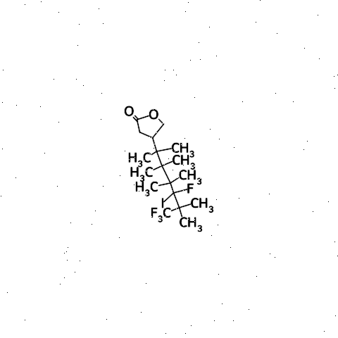 CC(C)(C1COC(=O)C1)C(C)(C)C(C)(C)C(F)(I)C(C)(C)C(F)(F)F